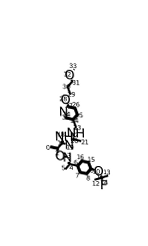 C=C(O/N=C(\C)c1ccc(OC(C)(C)F)cc1)C(=N)/N=C(/C)NCc1ccc(OCCCOC)nc1